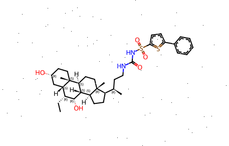 CC[C@H]1[C@@H](O)[C@@H]2[C@H](CC[C@]3(C)C([C@H](C)CCNC(=O)NS(=O)(=O)c4ccc(-c5ccccc5)s4)CC[C@@H]23)[C@@]2(C)CC[C@@H](O)C[C@@H]12